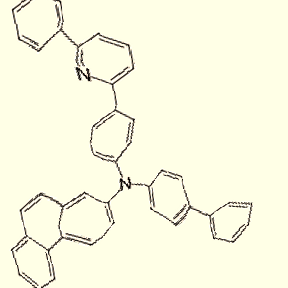 c1ccc(-c2ccc(N(c3ccc(-c4cccc(-c5ccccc5)n4)cc3)c3ccc4c(ccc5ccccc54)c3)cc2)cc1